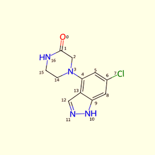 O=C1CN(c2cc(Cl)cc3[nH]ncc23)CCN1